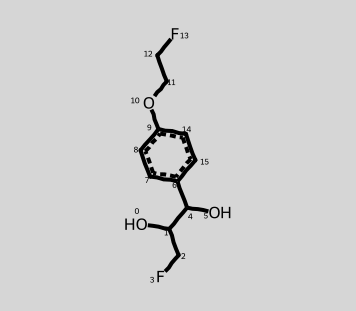 OC(CF)C(O)c1ccc(OCCF)cc1